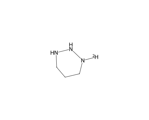 [2H]N1CCCNN1